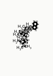 C[C@@H](NP(=O)(OC[C@H]1O[C@@H](n2cnc3c(N(C)C)nc(N)nc32)[C@](C)(F)[C@@H]1O)Oc1cccc2ccccc12)C(=O)OCC(C)(C)C